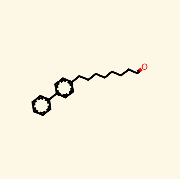 O=CCCCCCCCc1ccc(-c2ccccc2)cc1